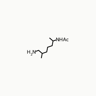 CC(=O)NC(C)CCCC(C)CN